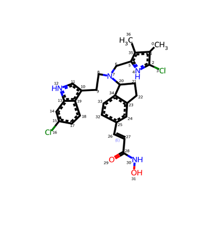 Cc1c(Cl)[nH]c(CN(CCc2c[nH]c3cc(Cl)ccc23)C2CCc3cc(/C=C/C(=O)NO)ccc32)c1C